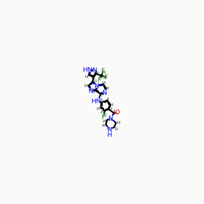 O=C(c1ccc(Nc2nccn3c(-c4c[nH]nc4C(F)(F)F)cnc23)cc1F)N1CCNCC1